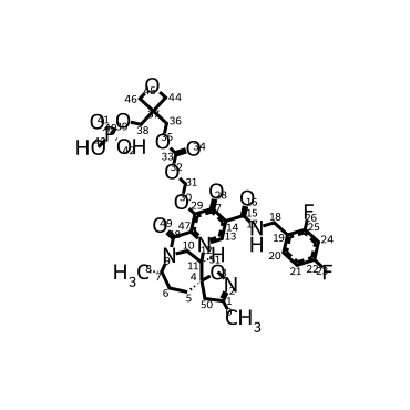 CC1=NO[C@@]2(CC[C@H](C)N3C[C@H]2n2cc(C(=O)NCc4ccc(F)cc4F)c(=O)c(OCOC(=O)OCC4(COP(=O)(O)O)COC4)c2C3=O)C1